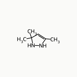 CC1=CC(C)(C)NN1